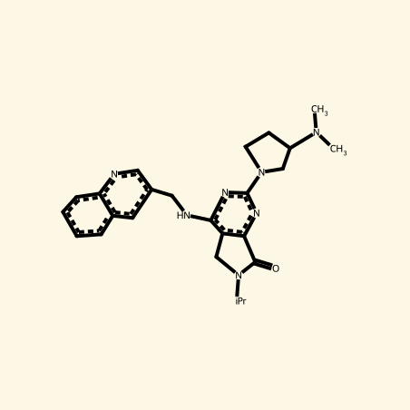 CC(C)N1Cc2c(NCc3cnc4ccccc4c3)nc(N3CCC(N(C)C)C3)nc2C1=O